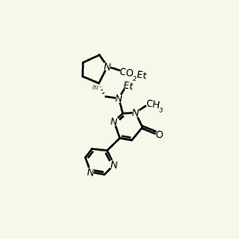 CCOC(=O)N1CCC[C@H]1CN(CC)c1nc(-c2ccncn2)cc(=O)n1C